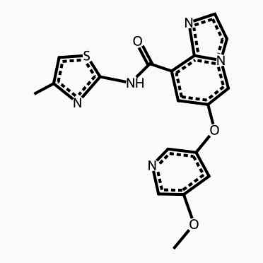 COc1cncc(Oc2cc(C(=O)Nc3nc(C)cs3)c3nccn3c2)c1